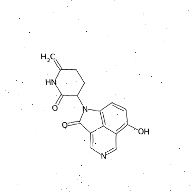 C=C1CCC(N2C(=O)c3cncc4c(O)ccc2c34)C(=O)N1